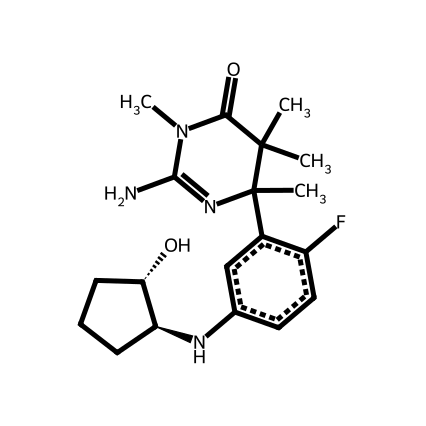 CN1C(=O)C(C)(C)C(C)(c2cc(N[C@H]3CCC[C@@H]3O)ccc2F)N=C1N